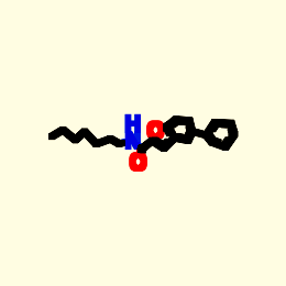 CCCCCCCNC(=O)c1cc2cc(-c3ccccc3)ccc2o1